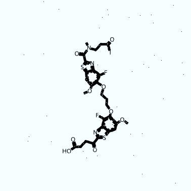 COc1cc2sc(C(=O)CCC(=O)O)nc2c(F)c1OCCCOc1c(OC)cc2sc(C(=O)N(C)CCC(=O)I)nc2c1F